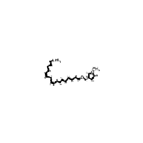 CCCCC/C=C\C/C=C\CCCCCCCCOC[C@H]1CCN(C)C1